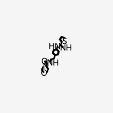 N=C(Nc1ccc(CCNC(=O)N2CCOCC2)cc1)c1cccs1